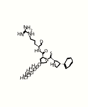 Cl.Cl.Cl.N=C(N)NCCC[C@@H](C=O)NC(=O)[C@@H]1CCCN1C(=S)[C@H]1C[C@H](c2ccccc2)CN1.O.O.O